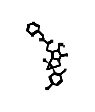 Cn1c(CC(=O)NCc2cnccn2)c2n(c1=S)C[C@@]1(c3cc(Cl)ccc3F)C[C@@H]21